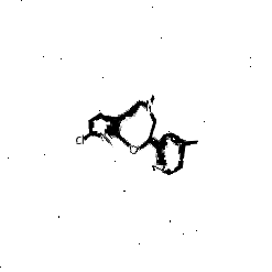 Cc1ccnc(C2CN(C)Cc3ccc(Cl)nc3O2)c1